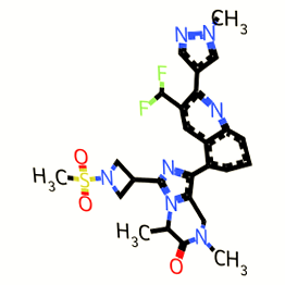 CC1C(=O)N(C)Cc2c(-c3cccc4nc(-c5cnn(C)c5)c(C(F)F)cc34)nc(C3CN(S(C)(=O)=O)C3)n21